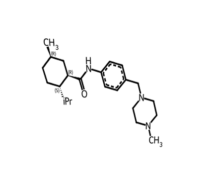 CC(C)[C@@H]1CC[C@@H](C)C[C@H]1C(=O)Nc1ccc(CN2CCN(C)CC2)cc1